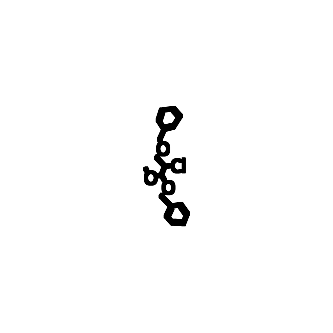 COC(OCc1ccccc1)C(Cl)COCc1ccccc1